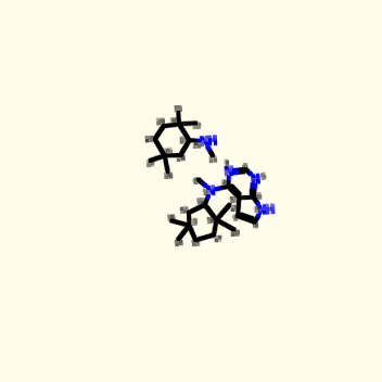 CN(c1ncnc2[nH]ccc12)C1CC(C)(C)CCC1(C)C.CNC1CC(C)(C)CCC1(C)C